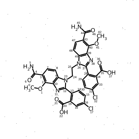 COc1c(C(N)=O)ccc2c1nc(-c1ccc(Cl)cc1C(=O)O)n2CCn1c(-c2ccc(Cl)cc2C(=O)O)nc2c(OC)c(C(N)=O)ccc21